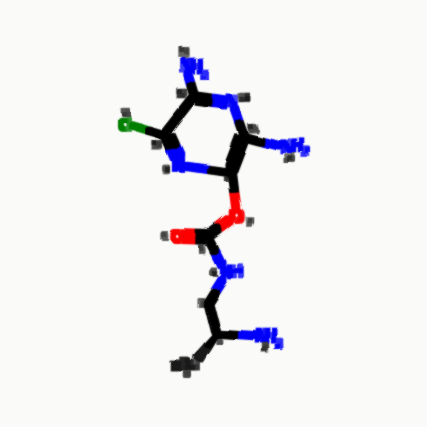 CCCC[C@H](N)CNC(=O)Oc1nc(Cl)c(N)nc1N